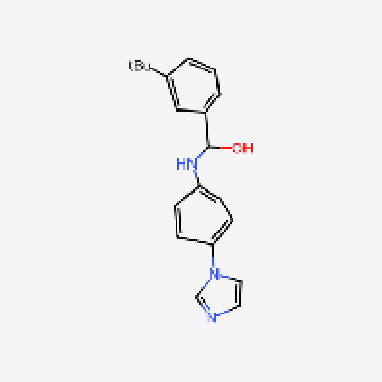 CC(C)(C)c1cccc(C(O)Nc2ccc(-n3ccnc3)cc2)c1